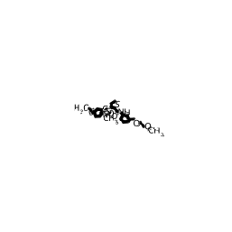 CCOc1ccc(N(C)S(=O)(=O)c2ccsc2C(=O)Nc2cccc(COCCOC)c2)cc1